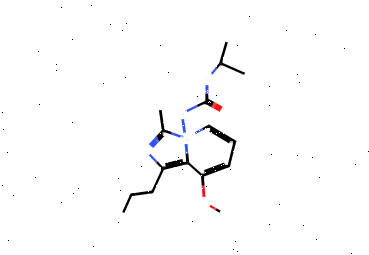 CCCC1=C2C(OC)=CC=C[N+]2(NC(=O)NC(C)C)C(C)=N1